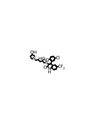 O=c1[nH]c2ccc(C(F)(F)F)cc2c(-c2cc(Cl)ccc2O)c1SCC(O)CCCN1CCC(O)C1